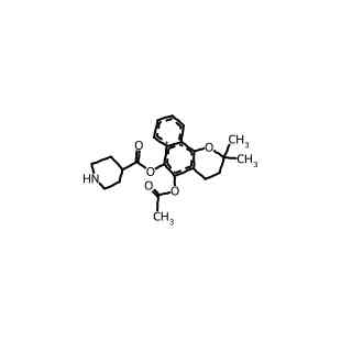 CC(=O)Oc1c2c(c3ccccc3c1OC(=O)C1CCNCC1)OC(C)(C)CC2